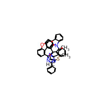 CC1=CC=C(c2cccc3oc4cccc(-c5nc(-c6ccccc6)nc(-c6ccccc6)n5)c4c23)C([C@@H](C)n2c3ccccc3c3ccccc32)=C(C)S1